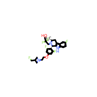 C[C@H]1Cc2c([nH]c3ccc(F)cc23)[C@H](c2c(F)cc(OCCN3CC(CF)C3)cc2F)N1CC(F)(F)CO